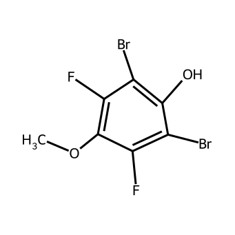 COc1c(F)c(Br)c(O)c(Br)c1F